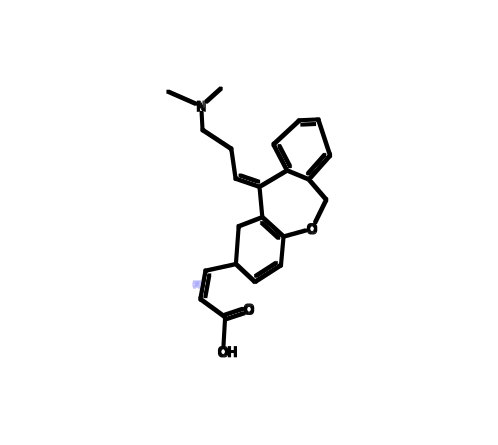 CN(C)CCC=C1C2=C(C=CC(/C=C\C(=O)O)C2)OCc2ccccc21